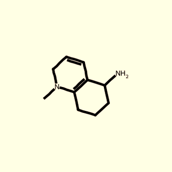 CN1CC=CC2=C1CCCC2N